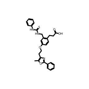 Cc1oc(-c2ccccc2)nc1CCOc1ccc(CCC(=O)O)c(CNC(=S)Nc2ccccc2)c1